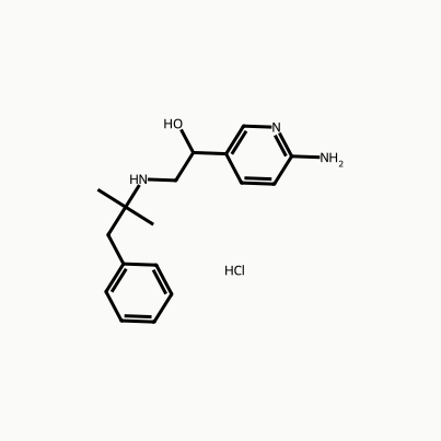 CC(C)(Cc1ccccc1)NCC(O)c1ccc(N)nc1.Cl